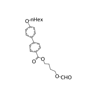 CCCCCCOc1ccc(-c2ccc(C(=O)OCCCCOC=O)cc2)cc1